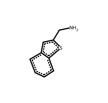 N[CH]c1cc2ccccc2s1